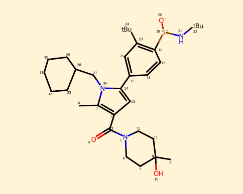 Cc1c(C(=O)N2CCC(C)(O)CC2)cc(-c2ccc([S+]([O-])NC(C)(C)C)c(C(C)(C)C)c2)n1CC1CCCCC1